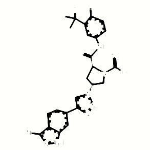 Nc1n[nH]c2cc(-c3cn([C@H]4C[C@@H](C(=O)Nc5ccc(Cl)c(C(F)(F)F)c5)N(C(=O)O)C4)nn3)ccc12